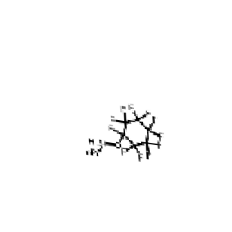 CCC[SiH2]OC1(F)C(F)(F)C(F)(F)C(F)(F)C(F)(F)C1(F)F